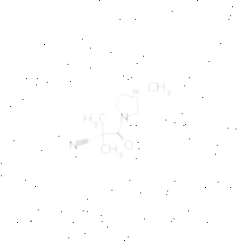 C[C@H]1CCN(C(=O)C(C)(C)C#N)C1